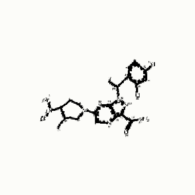 CCCN(CC)C1CCN(c2cnc3c(C(N)=O)nn(C(C)c4ccc(Cl)cc4Cl)c3n2)CC1C